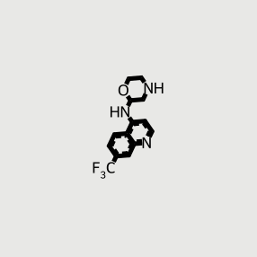 FC(F)(F)c1ccc2c(NC3CNCCO3)ccnc2c1